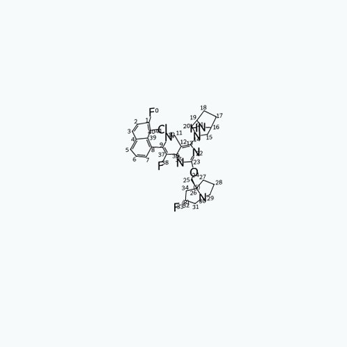 Fc1ccc2cccc(-c3ncc4c(N5CC6CCC(C5)N6)nc(OC[C@@]56CCCN5C[C@H](F)C6)nc4c3F)c2c1Cl